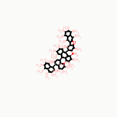 Bc1c(-c2c3c(B)c(B)c(B)c(B)c3c(-c3c(B)c(B)c(-c4c(B)c(B)c(B)c5c(B)c(B)c(B)c(B)c45)c4c(B)c(B)c(B)c(B)c34)c3c(B)c(B)c(B)c(B)c23)c(B)c2c(oc3c(B)c4c(B)c(B)c(B)c(B)c4c(B)c32)c1B